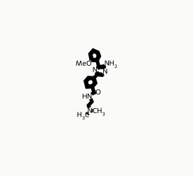 COc1ccccc1-c1nc(-c2cccc(C(=O)NCCN(C)C)c2)cnc1N